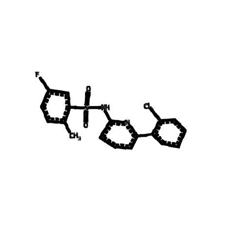 Cc1ccc(F)cc1S(=O)(=O)Nc1cccc(-c2ccccc2Cl)n1